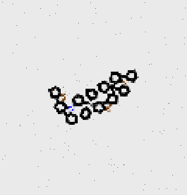 c1ccc([Si](c2ccccc2)(c2cccc(-n3c4ccccc4c4ccc5c6ccccc6sc5c43)c2)c2ccc3sc4ccc([Si](c5ccccc5)(c5ccccc5)c5cccc6c5sc5ccccc56)cc4c3c2)cc1